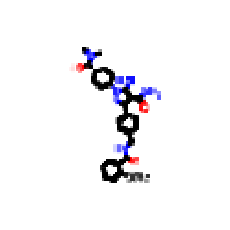 COc1ccccc1C(=O)NCc1ccc(-c2nn([C@H]3CC[C@@H](C(O)N(C)C)CC3)c(N)c2C(N)=O)cc1